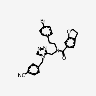 N#Cc1ccc(Cn2cnnc2CN(CCc2ccc(Br)cc2)C(=O)c2ccc3c(c2)OCC3)cc1